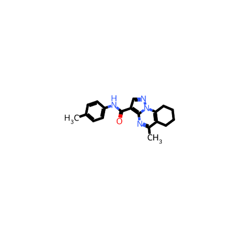 Cc1ccc(NC(=O)c2cnn3c4c(c(C)nc23)CCCC4)cc1